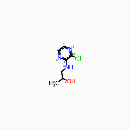 CC(O)CNc1nccnc1Cl